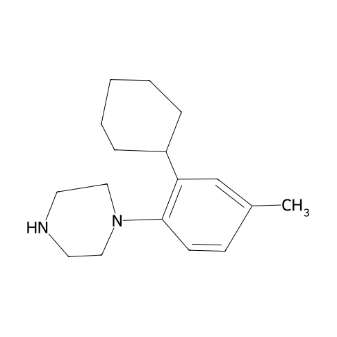 Cc1ccc(N2CCNCC2)c(C2CCCCC2)c1